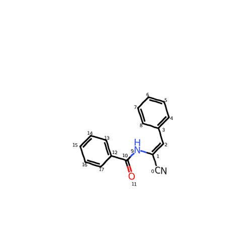 N#CC(=Cc1ccccc1)NC(=O)c1ccccc1